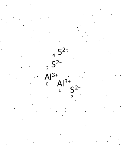 [Al+3].[Al+3].[S-2].[S-2].[S-2]